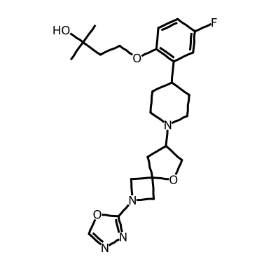 CC(C)(O)CCOc1ccc(F)cc1C1CCN(C2COC3(C2)CN(c2nnco2)C3)CC1